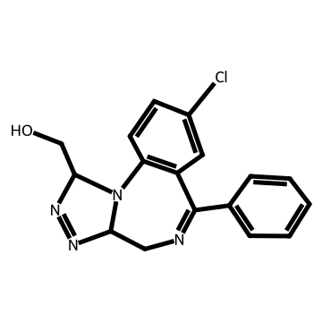 OCC1N=NC2CN=C(c3ccccc3)c3cc(Cl)ccc3N12